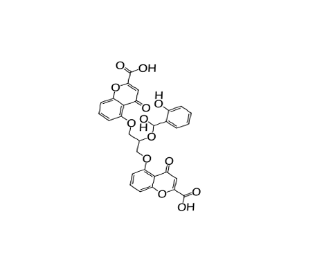 O=C(O)c1cc(=O)c2c(OCC(COc3cccc4oc(C(=O)O)cc(=O)c34)OC(O)c3ccccc3O)cccc2o1